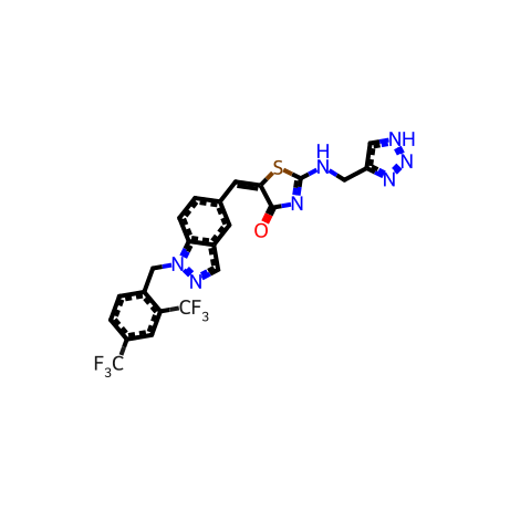 O=C1N=C(NCc2c[nH]nn2)SC1=Cc1ccc2c(cnn2Cc2ccc(C(F)(F)F)cc2C(F)(F)F)c1